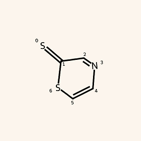 S=c1cnccs1